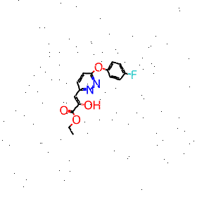 CCOC(=O)/C(O)=C/c1ccc(Oc2ccc(F)cc2)nn1